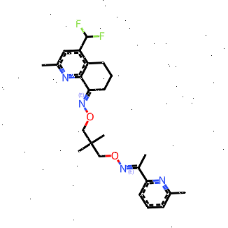 C/C(=N\OCC(C)(C)CO/N=C1\CCCc2c(C(F)F)cc(C)nc21)c1cccc(C)n1